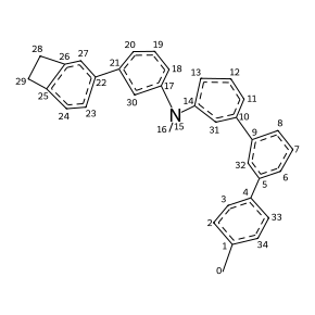 Cc1ccc(-c2cccc(-c3cccc(N(C)c4cccc(-c5ccc6c(c5)CC6)c4)c3)c2)cc1